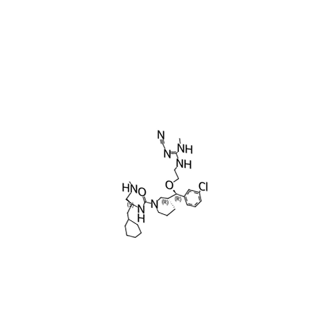 CNC[C@H](CC1CCCCC1)NC(=O)N1CCC[C@@H]([C@@H](OCCNC(=NC#N)NC)c2cccc(Cl)c2)C1